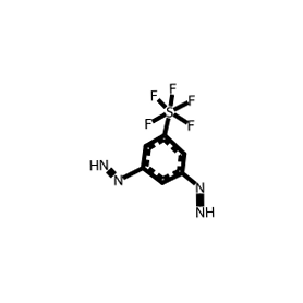 N=Nc1cc(N=N)cc(S(F)(F)(F)(F)F)c1